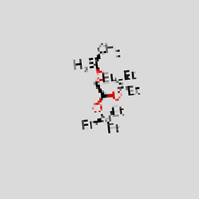 CC[Si](CC)(CC)OC(CO[SiH2]C)O[Si](CC)(CC)CC